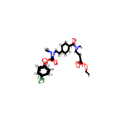 CCOC(=O)CCN(C)C(=O)C1CCC(CCN(C)C(=O)Oc2ccc(Cl)cc2)CC1